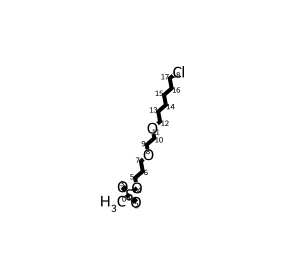 CS(=O)(=O)OCCCOCCOCCCCCCCl